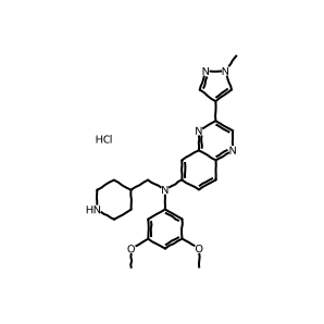 COc1cc(OC)cc(N(CC2CCNCC2)c2ccc3ncc(-c4cnn(C)c4)nc3c2)c1.Cl